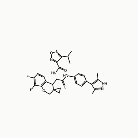 Cc1n[nH]c(C)c1-c1ccc(NC(=O)[C@@H](NC(=O)c2nonc2C(C)C)C2c3ccc(F)c(F)c3OCC23CC3)cc1